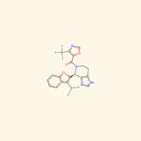 O=C(c1ocnc1C(F)(F)F)N1CCc2[nH]cnc2[C@H]1c1oc2ccccc2c1C(F)F